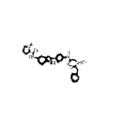 CCCN(CC(=O)Nc1ccc(-c2cc3cc(NC(=O)[C@@H]4CCCN4C(C)=O)ccc3[nH]2)cc1)C(=O)Cc1ccccc1